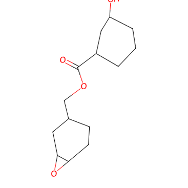 O=C(OCC1CCC2OC2C1)C1CCCC(O)C1